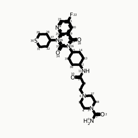 NC(=O)N1CCN(CCC(=O)NC2CCC(n3c(=O)c4cc(F)cnc4n(C4CCSCC4)c3=O)CC2)CC1